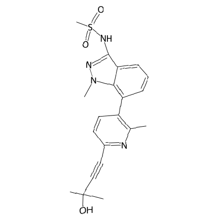 Cc1nc(C#CC(C)(C)O)ccc1-c1cccc2c(NS(C)(=O)=O)nn(C)c12